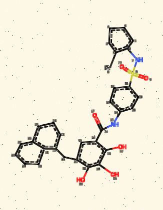 CC(C)c1ccccc1NS(=O)(=O)c1ccc(NC(=O)c2cc(Cc3cccc4ccccc34)c(O)c(O)c2O)cc1